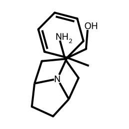 CC1(N2C3CCC2CC(N)(CO)C3)C=CC=CC1